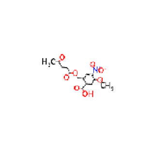 COc1cc(C(=O)O)c(COC(=O)CCC(C)=O)cc1[N+](=O)[O-]